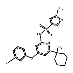 Cn1cc(S(=O)(=O)Nc2nc(Oc3cccc(Cl)c3)cc(C3(C)CCCCC3)n2)cn1